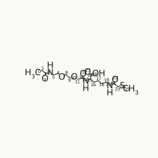 CCC(=O)NCCOCCOCC(=O)NC(CCCCNC(=O)CSC)C(=O)O